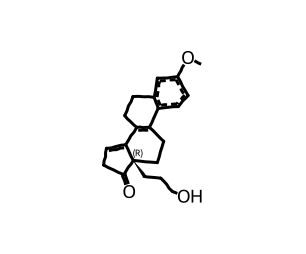 COc1ccc2c(c1)CCC1=C2CC[C@]2(CCCO)C(=O)CC=C12